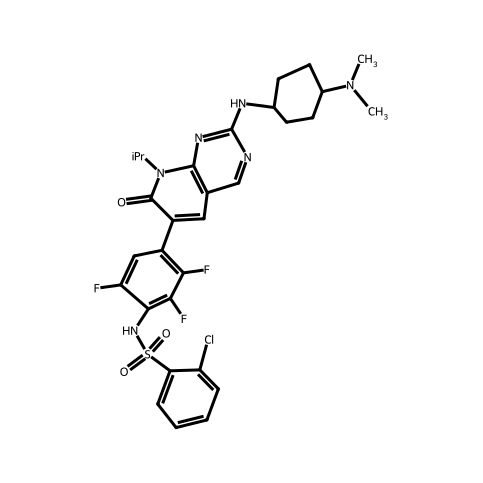 CC(C)n1c(=O)c(-c2cc(F)c(NS(=O)(=O)c3ccccc3Cl)c(F)c2F)cc2cnc(NC3CCC(N(C)C)CC3)nc21